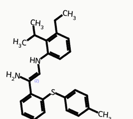 CCc1cccc(N/C=C(\N)c2ccccc2Sc2ccc(C)cc2)c1C(C)C